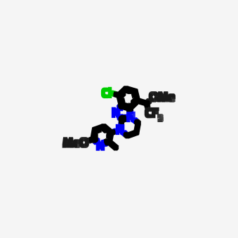 COc1ccc(N2CCCn3c2nc2c(Cl)ccc(C(OC)C(F)(F)F)c23)c(C)n1